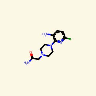 NC(=O)CN1CCN(c2nc(F)ccc2N)CC1